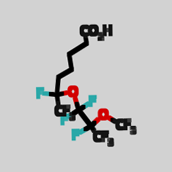 O=C(O)CCCCC(F)(OC(F)(F)C(F)(OC(F)(F)F)C(F)(F)F)C(F)(F)F